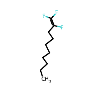 CCCCCCCCC(F)=C(F)F